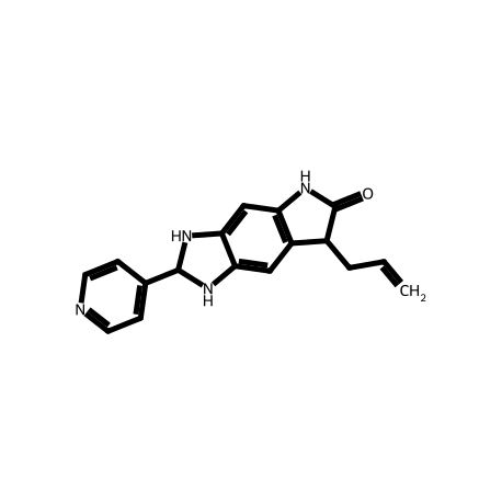 C=CCC1C(=O)Nc2cc3c(cc21)NC(c1ccncc1)N3